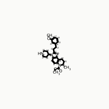 COC(=O)N1c2ccc3c(nc(CCc4cccc(OC)c4)n3C3CCNCC3)c2CC[C@@H]1C